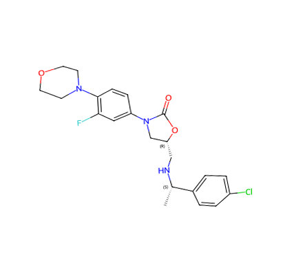 C[C@H](NC[C@@H]1CN(c2ccc(N3CCOCC3)c(F)c2)C(=O)O1)c1ccc(Cl)cc1